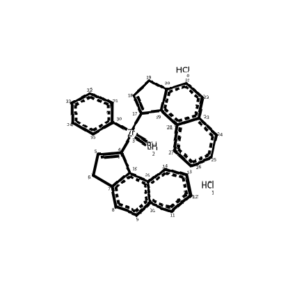 Cl.Cl.[BH]=[Zr]([C]1=CCc2ccc3ccccc3c21)([C]1=CCc2ccc3ccccc3c21)[c]1ccccc1